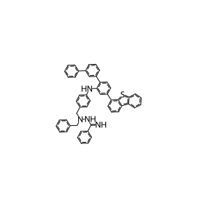 N=C(NN(Cc1ccccc1)Cc1ccc(Nc2cc(-c3cccc4c3sc3ccccc34)ccc2-c2cccc(-c3ccccc3)c2)cc1)c1ccccc1